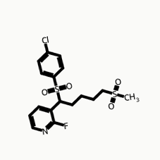 CS(=O)(=O)CCCCC(c1cccnc1F)S(=O)(=O)c1ccc(Cl)cc1